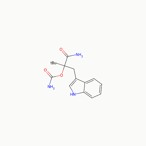 CC(C)(C)C(Cc1c[nH]c2ccccc12)(OC(N)=O)C(N)=O